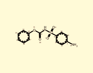 Nc1ccc(S(=O)(=O)NC(=O)Oc2ccccc2)cc1